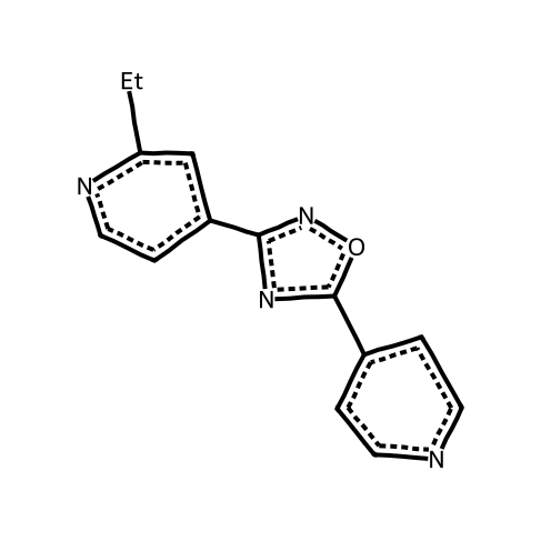 CCc1cc(-c2noc(-c3ccncc3)n2)ccn1